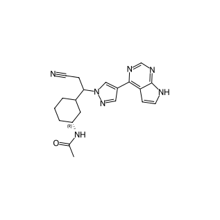 CC(=O)N[C@@H]1CCCC(C(CC#N)n2cc(-c3ncnc4[nH]ccc34)cn2)C1